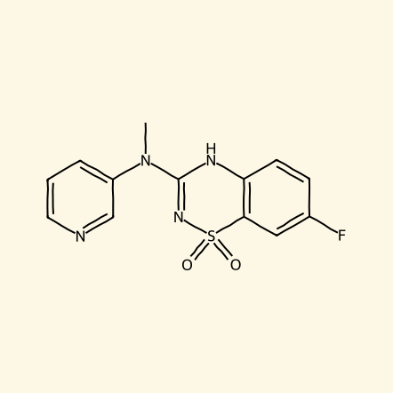 CN(C1=NS(=O)(=O)c2cc(F)ccc2N1)c1cccnc1